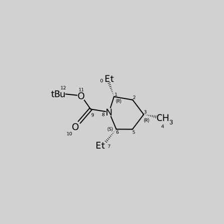 CC[C@@H]1C[C@H](C)C[C@H](CC)N1C(=O)OC(C)(C)C